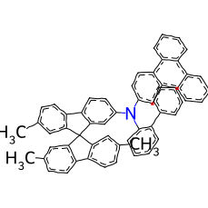 Cc1ccc2c(c1)C1(c3cc(C)ccc3-2)c2cc(C)ccc2-c2ccc(N(c3ccc4c5ccccc5c5ccccc5c4c3)c3ccccc3-c3ccccc3)cc21